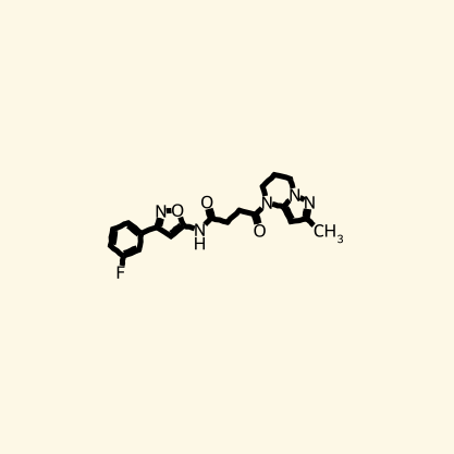 Cc1cc2n(n1)CCCN2C(=O)CCC(=O)Nc1cc(-c2cccc(F)c2)no1